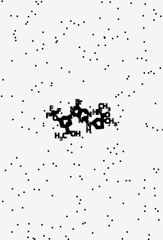 CNC(=O)C1(C)CC[C@@H](Nc2ncc3c(Br)nn(-c4cc(OC(F)(F)F)cc(C(C)O)c4)c3n2)C1